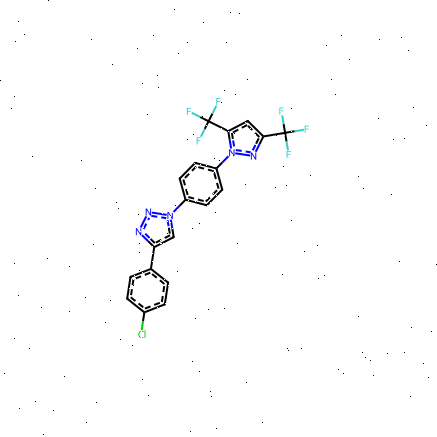 FC(F)(F)c1cc(C(F)(F)F)n(-c2ccc(-n3cc(-c4ccc(Cl)cc4)nn3)cc2)n1